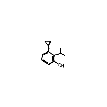 CC(C)c1c(O)[c]ccc1C1CC1